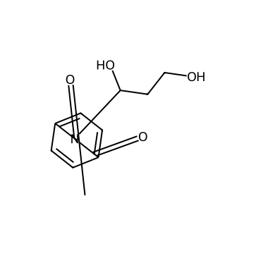 O=c1c2ccc(cc2)c(=O)n1C(O)CCO